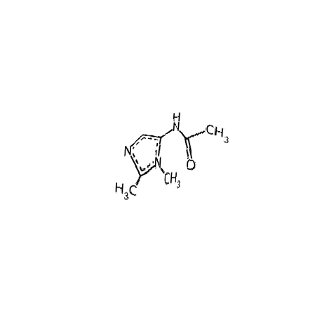 CC(=O)Nc1cnc(C)n1C